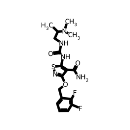 CC(CNC(=O)Nc1snc(OCc2cccc(F)c2F)c1C(N)=O)N(C)C